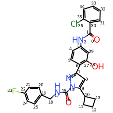 O=C(Nc1ccc(-c2cc(C3CCC3)n(C(=O)NCc3ccc(F)cc3)n2)c(O)c1)c1ccccc1Cl